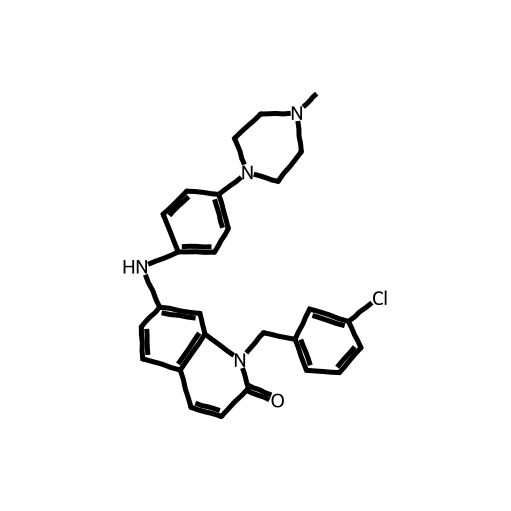 CN1CCN(c2ccc(Nc3ccc4ccc(=O)n(Cc5cccc(Cl)c5)c4c3)cc2)CC1